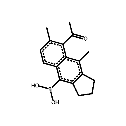 CC(=O)c1c(C)ccc2c(B(O)O)c3c(c(C)c12)CCC3